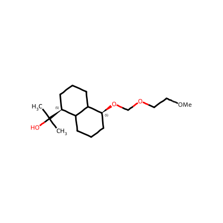 COCCOCO[C@H]1CCCC2C1CCC[C@@H]2C(C)(C)O